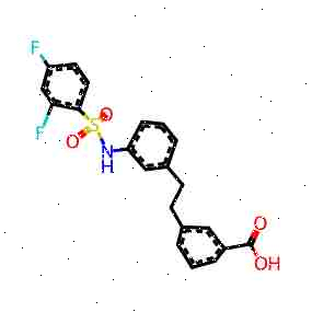 O=C(O)c1cccc(CCc2cccc(NS(=O)(=O)c3ccc(F)cc3F)c2)c1